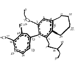 COc1cc2c(c(CC(C)C)c1-c1ccnc(Cl)c1F)CCCC2